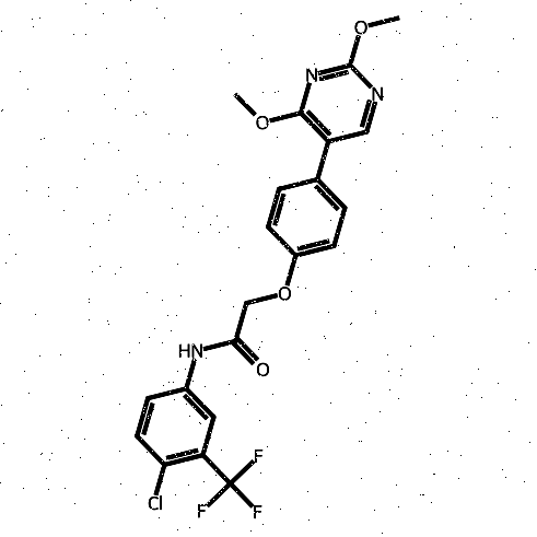 COc1ncc(-c2ccc(OCC(=O)Nc3ccc(Cl)c(C(F)(F)F)c3)cc2)c(OC)n1